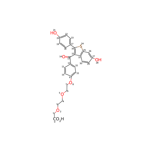 O=C(O)COCCOCCOc1ccc(C(=O)c2c(-c3ccc(O)cc3)sc3cc(O)ccc23)cc1